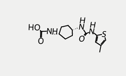 Cc1csc(NC(=O)N[C@H]2CC[C@@H](CNC(=O)O)CC2)c1